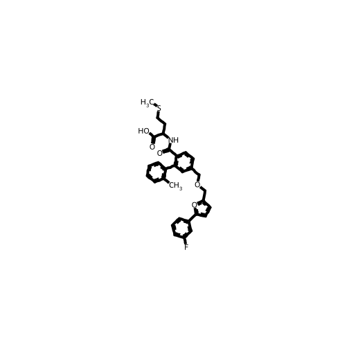 CSCCC(NC(=O)c1ccc(COCc2ccc(-c3cccc(F)c3)o2)cc1-c1ccccc1C)C(=O)O